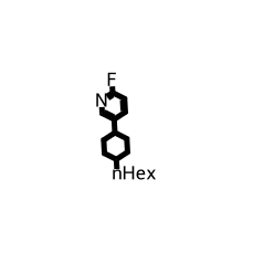 CCCCCCC1CCC(c2ccc(F)nc2)CC1